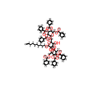 C=CCCCCCCCCOC1OC(COC2OC(COC(=O)c3ccccc3)C(OC(=O)c3ccccc3)C(OC(=O)c3ccccc3)C2OC(=O)c2ccccc2)C(O)C(OC2OC(COC(=O)c3ccccc3)C(OC(=O)c3ccccc3)C(OC(=O)c3ccccc3)C2C)C1O